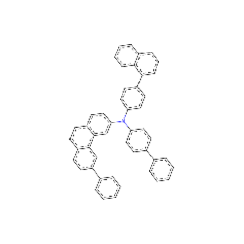 c1ccc(-c2ccc(N(c3ccc(-c4cccc5ccccc45)cc3)c3ccc4ccc5ccc(-c6ccccc6)cc5c4c3)cc2)cc1